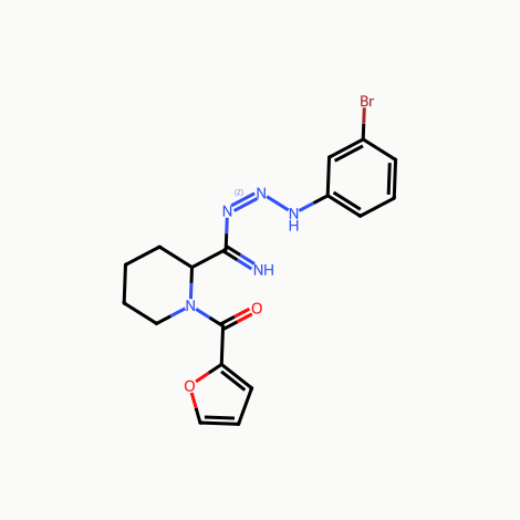 N=C(/N=N\Nc1cccc(Br)c1)C1CCCCN1C(=O)c1ccco1